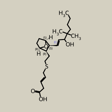 CCCCC(C)(C)C(O)/C=C/[C@H]1[C@@H](CCSCC=CCC(=O)O)[C@H]2CC[C@@H]1O2